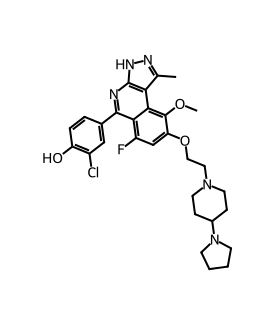 COc1c(OCCN2CCC(N3CCCC3)CC2)cc(F)c2c(-c3ccc(O)c(Cl)c3)nc3[nH]nc(C)c3c12